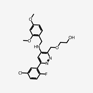 COc1ccc(CNc2cc(-c3cc(Cl)ccc3F)nnc2COCCO)c(OC)c1